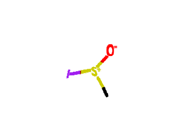 C[S+]([O-])I